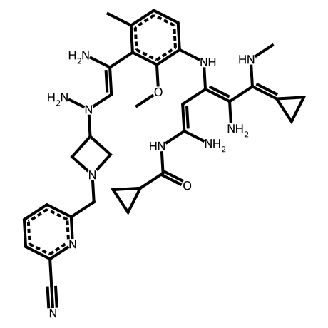 CNC(=C1CC1)/C(N)=C(/C=C(\N)NC(=O)C1CC1)Nc1ccc(C)c(/C(N)=C/N(N)C2CN(Cc3cccc(C#N)n3)C2)c1OC